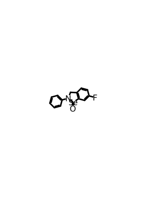 O=[Se]1c2cc(F)ccc2CN1c1ccccc1